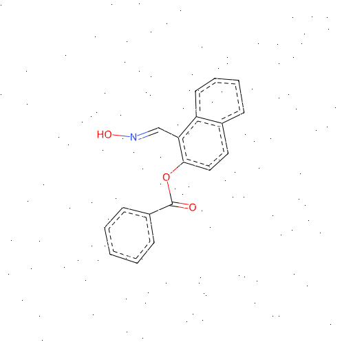 O=C(Oc1ccc2ccccc2c1/C=N/O)c1ccccc1